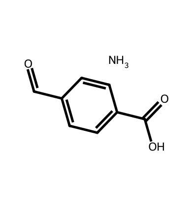 N.O=Cc1ccc(C(=O)O)cc1